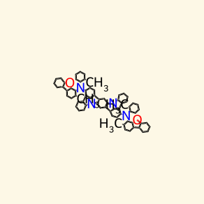 Cc1ccccc1N(c1c(C)ccc2c1oc1ccccc12)c1ccc2c3cc4c(cc3n3c5ccccc5c1c23)c1ccc(N(c2ccccc2C)c2c(C)ccc3c2oc2ccccc23)c2c3ccccc3n4c12